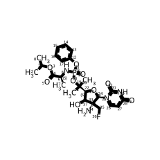 CC(C)OC(=O)[C@H](C)NP(=O)(Oc1ccccc1)OC(C)(C)[C@H]1O[C@@H](n2ccc(=O)[nH]c2=O)[C@@](N)(CF)C1O